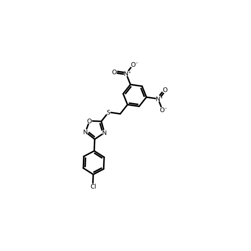 O=[N+]([O-])c1cc(CSc2nc(-c3ccc(Cl)cc3)no2)cc([N+](=O)[O-])c1